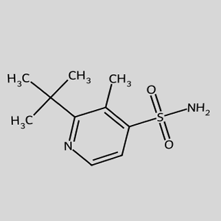 Cc1c(S(N)(=O)=O)ccnc1C(C)(C)C